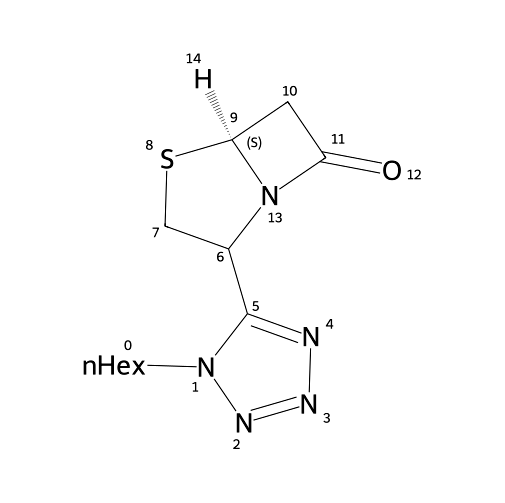 CCCCCCn1nnnc1C1CS[C@H]2CC(=O)N12